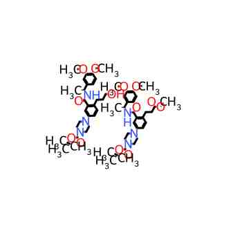 COC(=O)CCc1ccc(N2CCN(C(=O)OC(C)(C)C)CC2)cc1C(=O)N[C@H](C)c1ccc(OC)c(OC)c1.COc1ccc([C@@H](C)NC(=O)c2cc(N3CCN(C(=O)OC(C)(C)C)CC3)ccc2CCCO)cc1OC